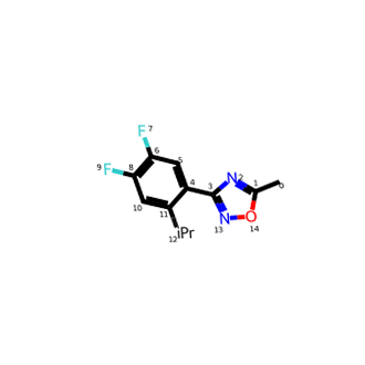 Cc1nc(-c2cc(F)c(F)cc2C(C)C)no1